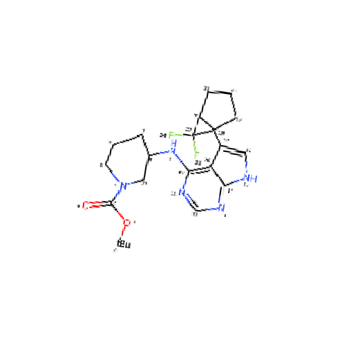 CC(C)(C)OC(=O)N1CCCC(Nc2ncnc3[nH]cc(C45CCCC4C5(F)F)c23)C1